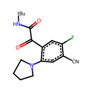 CC(C)(C)NC(=O)C(=O)c1cc(F)c(C#N)cc1N1CCCC1